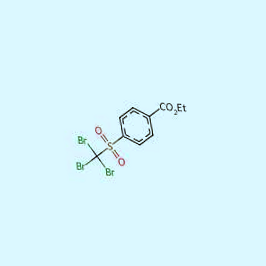 CCOC(=O)c1ccc(S(=O)(=O)C(Br)(Br)Br)cc1